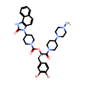 CN1CCN(C2CCN(C(=O)[C@@H](Cc3ccc(Br)c(Br)c3)OC(=O)N3CCC(n4c(=O)[nH]c5c6ccccc6ccc54)CC3)CC2)CC1